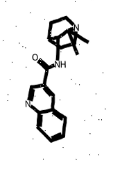 CC1(C)C(NC(=O)c2cnc3ccccc3c2)C2CCN1CC2